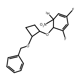 [2H]C1([N+](=O)[O-])C=C(F)C=C(F)C1OC1CCC1OCc1ccccc1